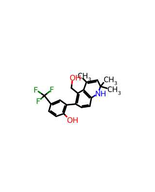 CC1=CC(C)(C)Nc2ccc(-c3cc(C(F)(F)F)ccc3O)c(CO)c21